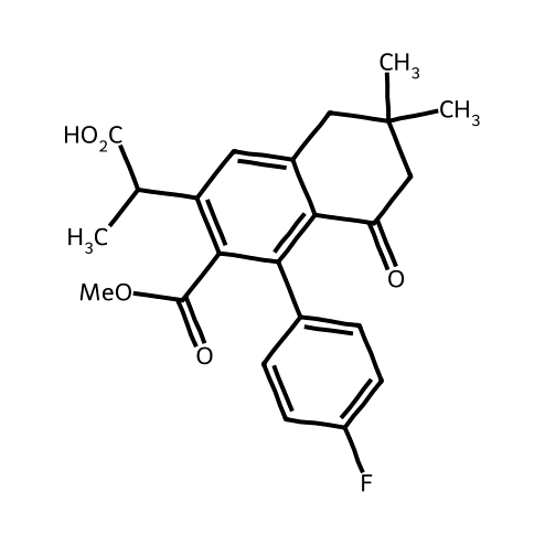 COC(=O)c1c(C(C)C(=O)O)cc2c(c1-c1ccc(F)cc1)C(=O)CC(C)(C)C2